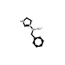 C1=S(NCc2ccccc2)CCN1.Cl